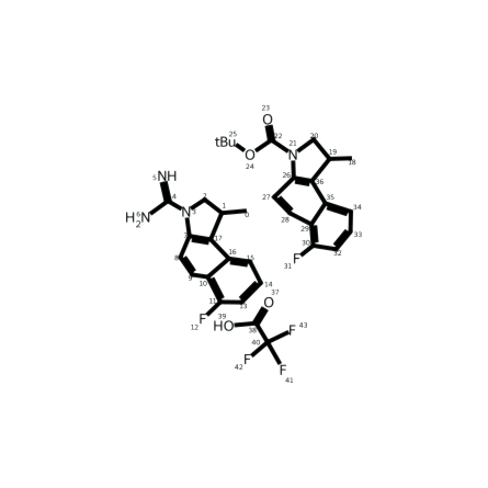 CC1CN(C(=N)N)c2ccc3c(F)cccc3c21.CC1CN(C(=O)OC(C)(C)C)c2ccc3c(F)cccc3c21.O=C(O)C(F)(F)F